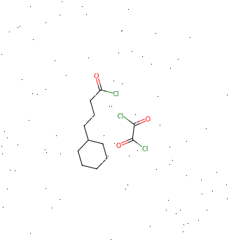 O=C(Cl)C(=O)Cl.O=C(Cl)CCCC1CCCCC1